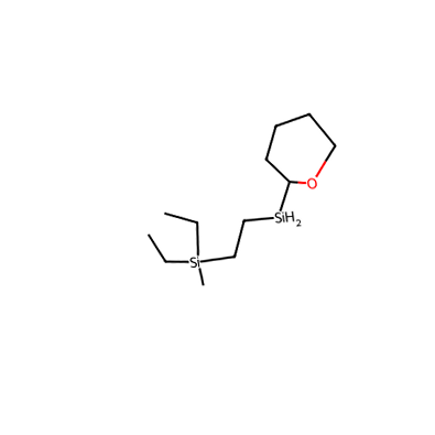 CC[Si](C)(CC)CC[SiH2]C1CCCCO1